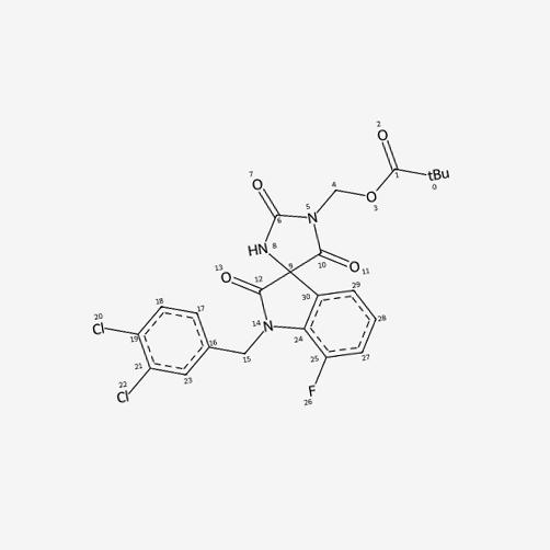 CC(C)(C)C(=O)OCN1C(=O)NC2(C1=O)C(=O)N(Cc1ccc(Cl)c(Cl)c1)c1c(F)cccc12